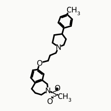 Cc1ccc(C2CCN(CCCOc3ccc4c(c3)CN(S(C)(=O)=O)CCC4)CC2)cc1